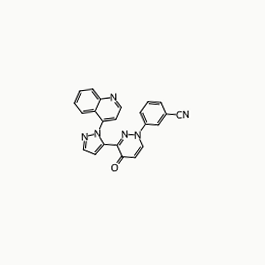 N#Cc1cccc(-n2ccc(=O)c(-c3ccnn3-c3ccnc4ccccc34)n2)c1